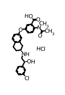 CC(=O)N(C)c1ccc(Oc2ccc3c(c2)C[C@@H](NC[C@@H](O)c2cccc(Cl)c2)CC3)cc1C(=O)O.Cl